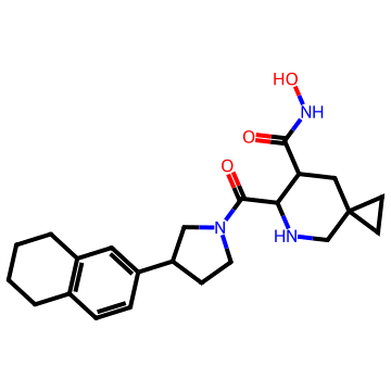 O=C(NO)C1CC2(CC2)CNC1C(=O)N1CCC(c2ccc3c(c2)CCCC3)C1